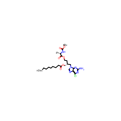 CCCCCCCCCCCCCCCCCC(=O)OC[C@H](CCOC(=O)[C@@H](NC(=O)OC(C)(C)C)C(C)C)Cn1cnc2c(Cl)nc(N)nc21